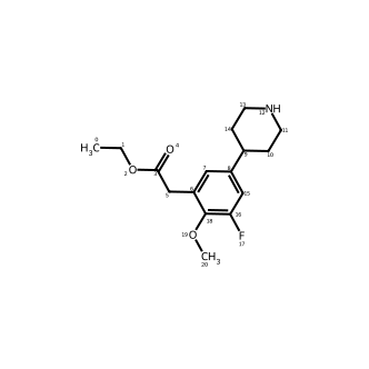 CCOC(=O)Cc1cc(C2CCNCC2)cc(F)c1OC